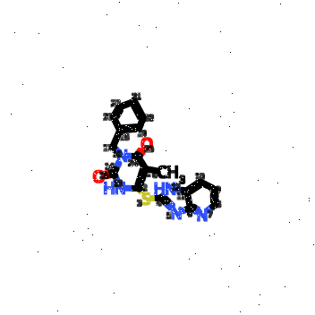 Cc1c(Sc2nc3ncccc3[nH]2)[nH]c(=O)n(Cc2ccccc2)c1=O